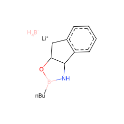 CCCCB1NC2c3ccccc3CC2O1.[BH4-].[Li+]